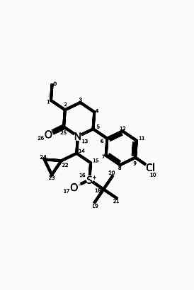 CCC1CCC(c2ccc(Cl)cc2)N(C(C[S+]([O-])C(C)(C)C)C2CC2)C1=O